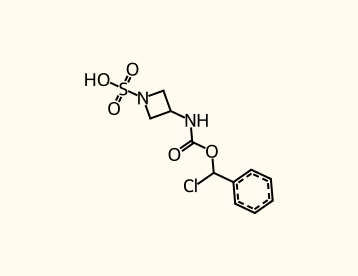 O=C(NC1CN(S(=O)(=O)O)C1)OC(Cl)c1ccccc1